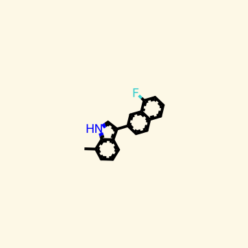 Cc1cccc2c(-c3ccc4cccc(F)c4c3)c[nH]c12